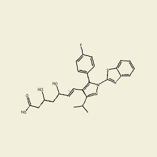 CC(C)c1nn(-c2nc3ccccc3s2)c(-c2ccc(F)cc2)c1/C=C/C(O)CC(O)CC(=O)O